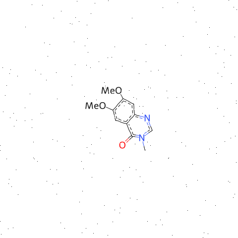 COc1cc2ncn(C)c(=O)c2cc1OC